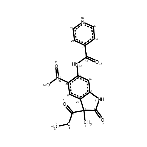 COC(=O)C1(C)C(=O)Nc2cc(NC(=O)c3ccncc3)c([N+](=O)[O-])cc21